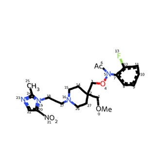 COCC1(CON(C(C)=O)c2ccccc2F)CCN(CCn2c([N+](=O)[O-])cnc2C)CC1